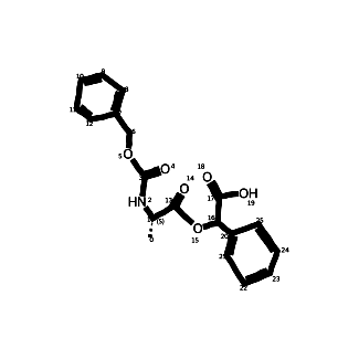 C[C@H](NC(=O)OCc1ccccc1)C(=O)OC(C(=O)O)c1ccccc1